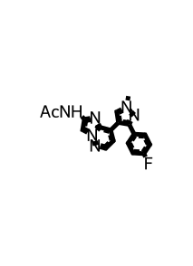 CC(=O)Nc1cn2nccc(-c3cn(C)nc3-c3ccc(F)cc3)c2n1